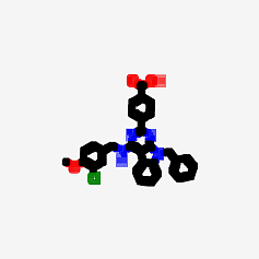 COc1ccc(CNc2nc(-c3ccc(C(=O)O)cc3)nc3c2c2ccccc2n3Cc2ccccc2)cc1Cl